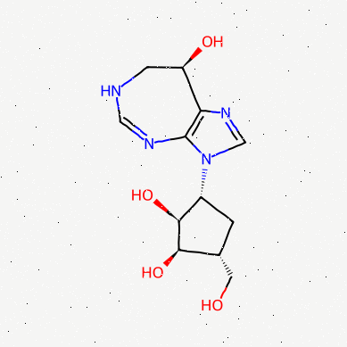 OC[C@H]1C[C@@H](n2cnc3c2N=CNC[C@H]3O)[C@H](O)[C@@H]1O